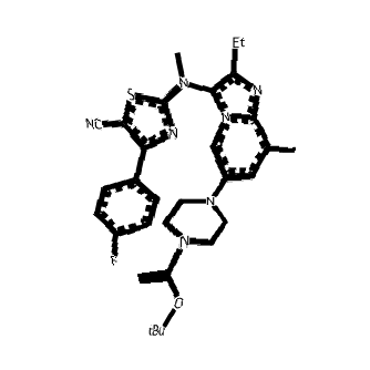 C=C(OC(C)(C)C)N1CCN(c2cc(C)c3nc(CC)c(N(C)c4nc(-c5ccc(F)cc5)c(C#N)s4)n3c2)CC1